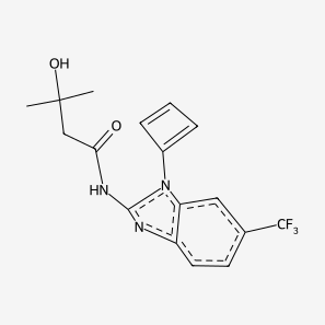 CC(C)(O)CC(=O)Nc1nc2ccc(C(F)(F)F)cc2n1C1=CC=C1